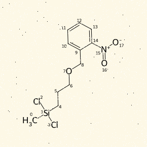 C[Si](Cl)(Cl)CCCOCc1ccccc1[N+](=O)[O-]